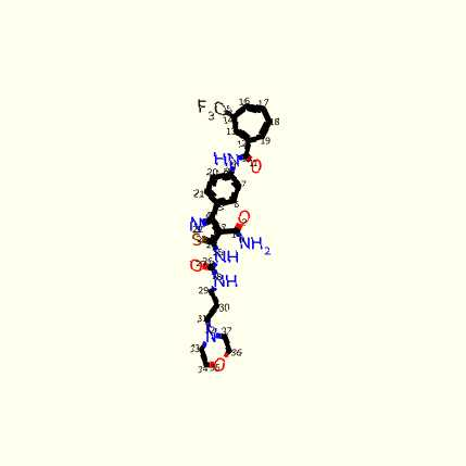 NC(=O)c1c(-c2ccc(NC(=O)C3=CC(C(F)(F)F)C=CC=C3)cc2)nsc1NC(=O)NCCCN1CCOCC1